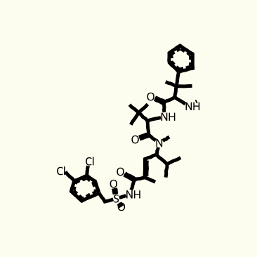 CNC(C(=O)NC(C(=O)N(C)C(/C=C(\C)C(=O)NS(=O)(=O)Cc1ccc(Cl)c(Cl)c1)C(C)C)C(C)(C)C)C(C)(C)c1ccccc1